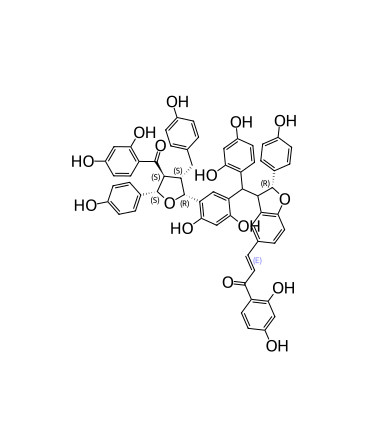 O=C(/C=C/c1ccc2c(c1)C(C(c1ccc(O)cc1O)c1cc([C@@H]3O[C@H](c4ccc(O)cc4)[C@@H](C(=O)c4ccc(O)cc4O)[C@@H]3Cc3ccc(O)cc3)c(O)cc1O)[C@H](c1ccc(O)cc1)O2)c1ccc(O)cc1O